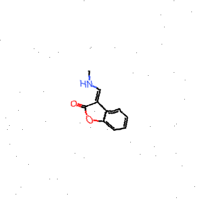 CNC=C1C(=O)Oc2ccccc21